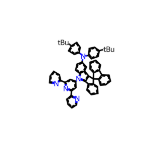 CC(C)(C)c1ccc(N(c2ccc(C(C)(C)C)cc2)c2ccc3c(c2)c2c(n3-c3cc(-c4ccccn4)nc(-c4ccccn4)c3)-c3ccccc3C23c2ccccc2-c2ccccc23)cc1